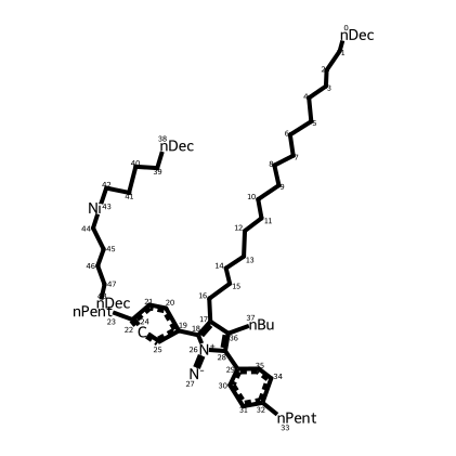 CCCCCCCCCCCCCCCCCCCCCCCCCCC1=C(c2ccc(CCCCC)cc2)[N+](=[N-])C(c2ccc(CCCCC)cc2)=C1CCCC.CCCCCCCCCCCCC[CH2][Ni][CH2]CCCCCCCCCCCCC